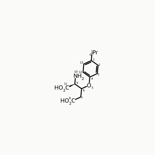 CC(C)c1ccc(OC(CC(=O)O)[C@H](N)C(=O)O)cc1